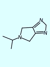 CC(C)N1CC2=NCN=C2C1